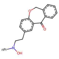 CCCN(O)CCc1ccc2c(c1)C(=O)c1ccccc1CO2